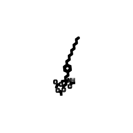 CCCCCCCCCCc1ccc(CCC(CCOC(C)=O)(COC(C)=O)NC(C)=O)cc1